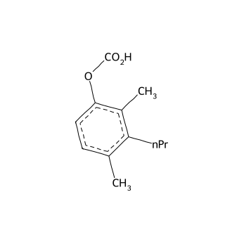 CCCc1c(C)ccc(OC(=O)O)c1C